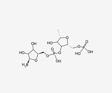 B[C@@H]1O[C@H](COP(=O)(O)OC2C(O)[C@H](C)O[C@@H]2COP(=O)(O)O)C(O)C1O